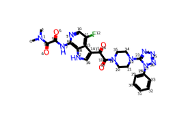 CN(C)C(=O)C(=O)Nc1ncc(F)c2c(C(=O)C(=O)N3CCN(c4nnnn4-c4ccccc4)CC3)c[nH]c12